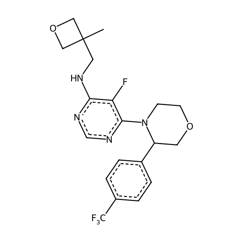 CC1(CNc2ncnc(N3CCOCC3c3ccc(C(F)(F)F)cc3)c2F)COC1